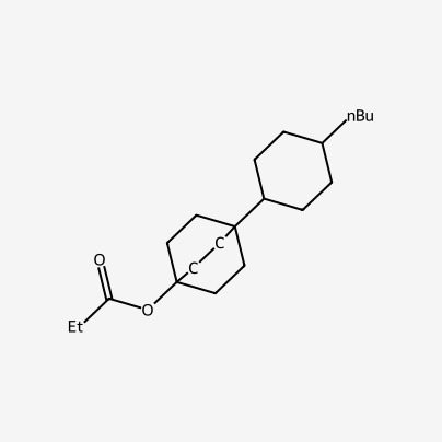 CCCCC1CCC(C23CCC(OC(=O)CC)(CC2)CC3)CC1